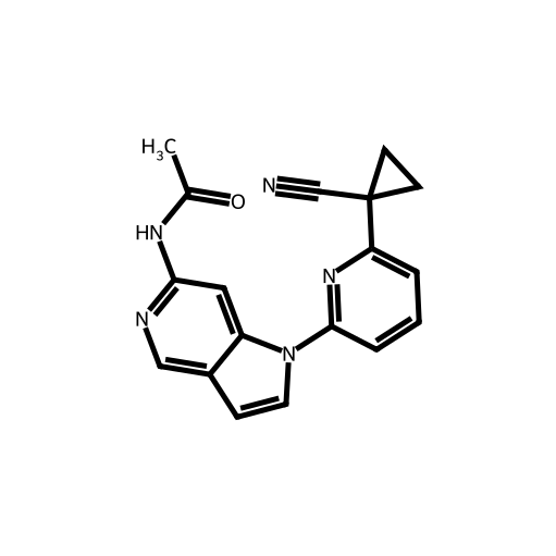 CC(=O)Nc1cc2c(ccn2-c2cccc(C3(C#N)CC3)n2)cn1